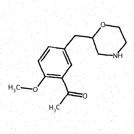 COc1ccc(CC2CNCCO2)cc1C(C)=O